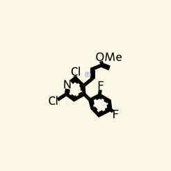 C=C(/C=C/c1c(-c2ccc(F)cc2F)cc(Cl)nc1Cl)OC